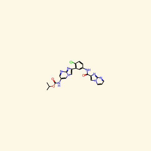 CC(C)OC(=O)Nc1cnc2nc(-c3cc(NC(=O)c4cn5cccnc5n4)ccc3Cl)cn2c1